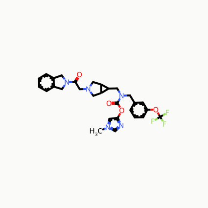 Cn1cnc(OC(=O)N(Cc2cccc(OC(F)(F)F)c2)CC2C3CN(CC(=O)N4Cc5ccccc5C4)CC32)c1